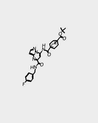 CC(C)(C)OC(=O)C12CCC(C(=O)Nc3cc(C(=O)NCc4ccc(F)cc4)nc4ccnn34)(CC1)CC2